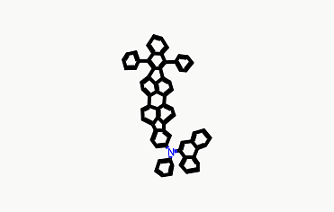 c1ccc(-c2c3c(c(-c4ccccc4)c4ccccc24)-c2ccc4c5ccc6c7c(ccc(c8ccc-3c2c84)c75)-c2ccc(N(c3ccccc3)c3cc4ccccc4c4ccccc34)cc2-6)cc1